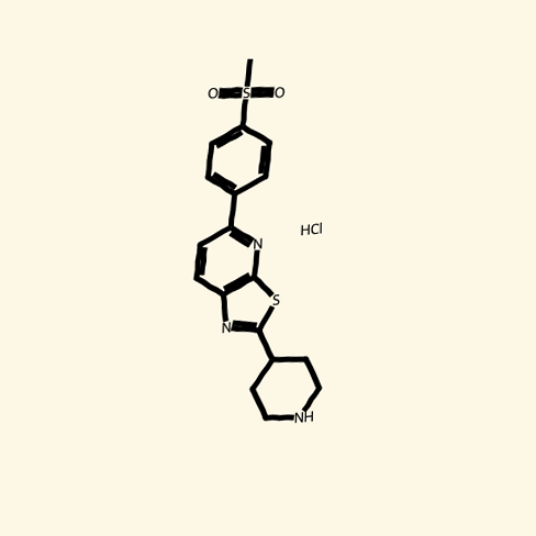 CS(=O)(=O)c1ccc(-c2ccc3nc(C4CCNCC4)sc3n2)cc1.Cl